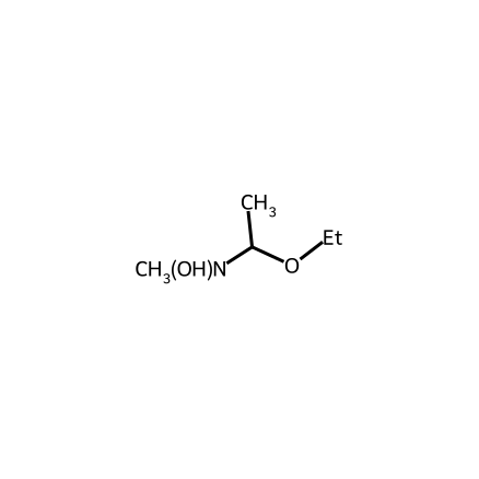 CCOC(C)N(C)O